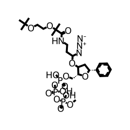 COP(=O)(O)OP(=O)(O)OP(=O)(O)OC[C@H]1O[C@@H](c2ccccc2)CC1OC(CCNC(=O)C(C)(C)OCCOC(C)(C)C)N=[N+]=[N-]